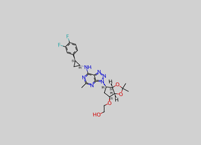 Cc1nc(N[C@@H]2C[C@H]2c2ccc(F)c(F)c2)c2nnn([C@@H]3C[C@H](OCCO)[C@H]4OC(C)(C)O[C@H]43)c2n1